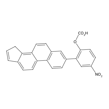 O=C(O)Oc1ccc([N+](=O)[O-])cc1-c1ccc2c(ccc3c4c(ccc32)C=CC4)c1